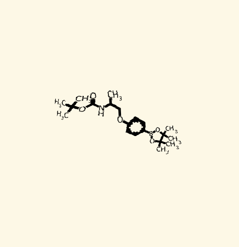 CC(COc1ccc(B2OC(C)(C)C(C)(C)O2)cc1)NC(=O)OC(C)(C)C